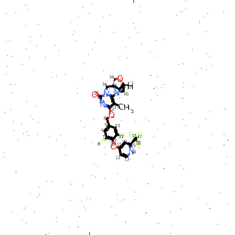 Cc1c(OCc2cc(F)c(Oc3ccnc(C(F)(F)F)c3)c(F)c2)nc(=O)n2c1N1C[C@@H]3C[C@]1(CO3)C2